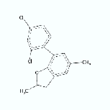 [CH2]C1Cc2cc(C)cc(-c3ccc(Cl)cc3Cl)c2O1